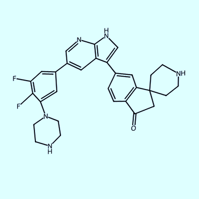 O=C1CC2(CCNCC2)c2cc(-c3c[nH]c4ncc(-c5cc(F)c(F)c(N6CCNCC6)c5)cc34)ccc21